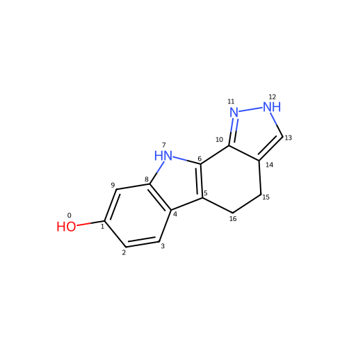 Oc1ccc2c3c([nH]c2c1)-c1n[nH]cc1CC3